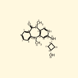 CN1C(=O)c2ccccc2N(C)c2cc(N[C@H]3C[C@@H](O)C3)ncc21